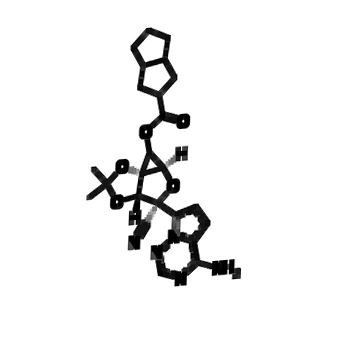 CC1(C)O[C@@H]2[C@@]3(O1)C(OC(=O)C1CC4CCCC4C1)[C@H]3O[C@@]2(C#N)c1ccc2c(N)ncnn12